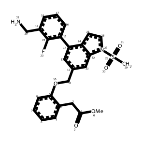 COC(=O)Cc1ccccc1OCc1cc(-c2cccc(CN)c2F)c2ccn(S(C)(=O)=O)c2c1